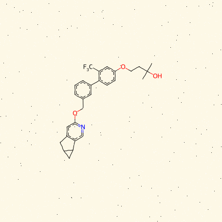 CC(C)(O)CCOc1ccc(-c2cccc(COc3cc4c(cn3)C3CC3C4)c2)c(C(F)(F)F)c1